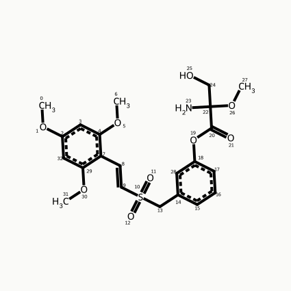 COc1cc(OC)c(C=CS(=O)(=O)Cc2cccc(OC(=O)C(N)(CO)OC)c2)c(OC)c1